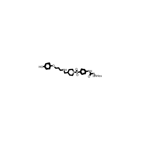 CCCCCCNC(=O)Nc1ccc(S(=O)(=O)N2CCC(CNCCCOc3ccc(O)cc3)CC2)cc1